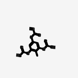 Cc1c(OC(=O)O)cc(OC(=O)O)cc1OC(=O)O